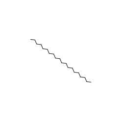 CCCCCCCCCCCCCCCCCCCC